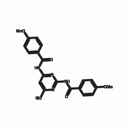 COc1ccc(C(=O)Nc2cc(C(C)(C)C)nc(NC(=O)c3ccc(OC)cc3)n2)cc1